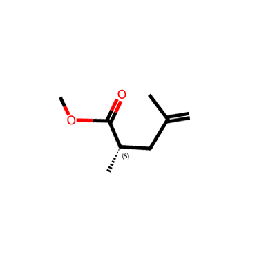 C=C(C)C[C@H](C)C(=O)OC